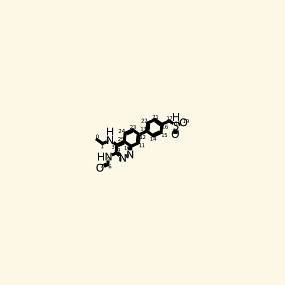 CCNc1c(NC=O)nnc2cc(-c3ccc(C[SH](=O)=O)cc3)ccc12